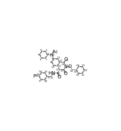 CC(=O)N(c1ccccc1)c1ccc2c(c1)C(=O)N(OCc1ccccc1)C(=O)C2C(=O)NCc1ccc(F)cc1